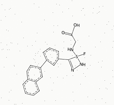 O=C(O)CNS1(F)NN=C1c1cccc(-c2ccc3ccccc3c2)c1